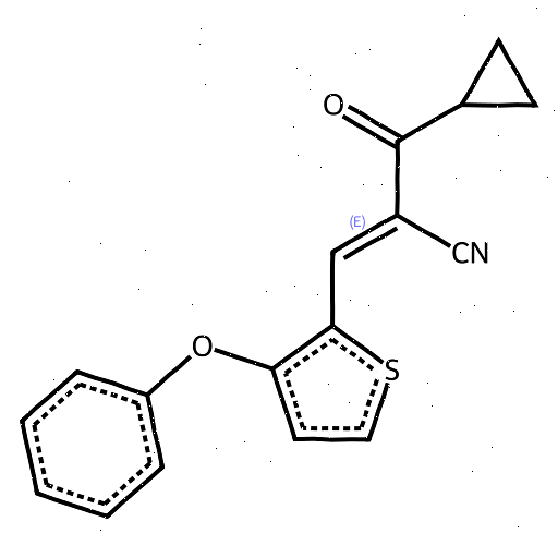 N#C/C(=C\c1sccc1Oc1ccccc1)C(=O)C1CC1